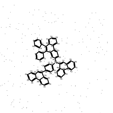 c1ccc(-c2c(-c3ccccc3)c3cc(N(c4ccc(-c5cc6ccccc6c6ccccc56)cc4)c4cc5ccccc5c5ccccc45)ccc3c3ccccc23)cc1